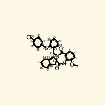 COc1cccc2c1[N]C(=O)C1(C=C3CC=CC=C3C1)N(Cc1ccccc1Sc1ccc(Cl)cc1)C2=O